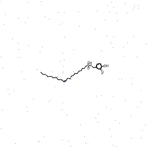 CCCCCCCCC/C=C\CCCCCCCCCCCS(=O)(=O)NCc1ccc(O)c(OC)c1